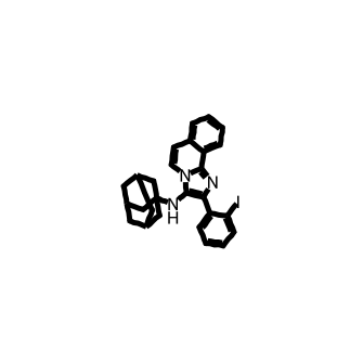 Ic1ccccc1-c1nc2c3ccccc3ccn2c1NC12CC3CC(CC(C3)C1)C2